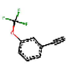 [C]#Cc1cccc(OC(F)(F)F)c1